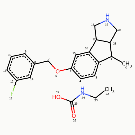 CC1c2ccc(OCc3cccc(F)c3)cc2C2CNCC12.CCNC(=O)O